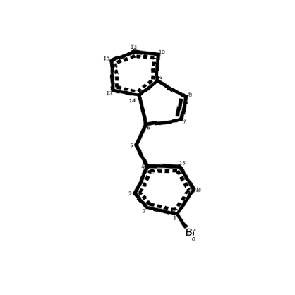 Brc1ccc(CC2C=Cc3ccccc32)cc1